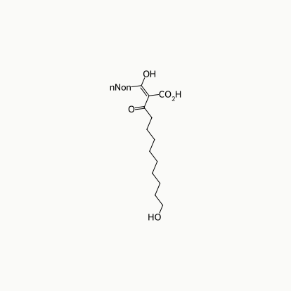 CCCCCCCCCC(O)=C(C(=O)O)C(=O)CCCCCCCCCO